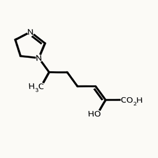 CC(CCC=C(O)C(=O)O)N1C=NCC1